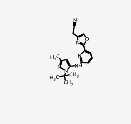 Cc1cc(Nc2cccc(-c3nc(CC#N)co3)n2)n(C(C)(C)C)n1